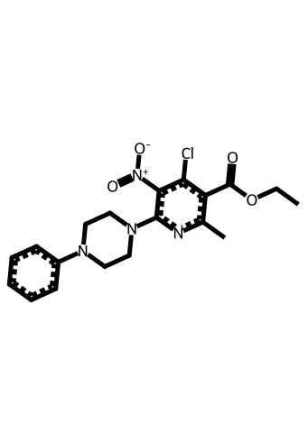 CCOC(=O)c1c(C)nc(N2CCN(c3ccccc3)CC2)c([N+](=O)[O-])c1Cl